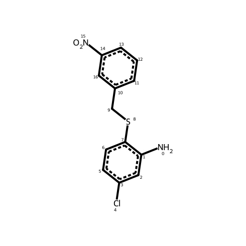 Nc1cc(Cl)ccc1SCc1cccc([N+](=O)[O-])c1